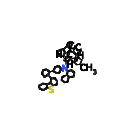 C[C@H]1C[C@@H]2C[C@@H](C)C[C@H](C1)C21c2ccccc2C2(c3ccccc3-c3ccccc32)c2ccc(N(c3ccc(-c4ccccc4-c4cccc5sc6ccccc6c45)cc3)c3cccc4ccccc34)cc21